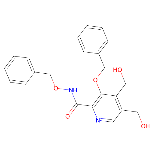 O=C(NOCc1ccccc1)c1ncc(CO)c(CO)c1OCc1ccccc1